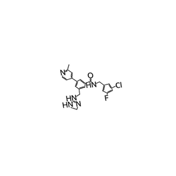 Cc1cc(-c2cc(CNC3=NCCN3)cc(C(=O)NCc3cc(F)cc(Cl)c3)c2)ccn1